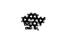 COC(=O)[C@H]1CN(c2c(-c3cc(F)cc(F)c3)cnc3ccc(-c4cccc(C#N)c4O)cc23)CC[C@@H]1N